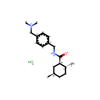 CC(C)[C@@H]1CC[C@@H](C)C[C@H]1C(=O)NCc1ccc(CN(C)C)cc1.Cl